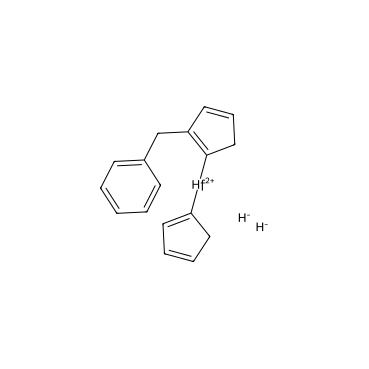 C1=CC[C]([Hf+2][C]2=C(Cc3ccccc3)C=CC2)=C1.[H-].[H-]